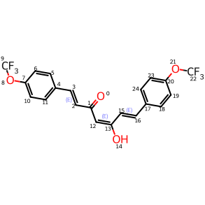 O=C(/C=C/c1ccc(OC(F)(F)F)cc1)/C=C(O)\C=C\c1ccc(OC(F)(F)F)cc1